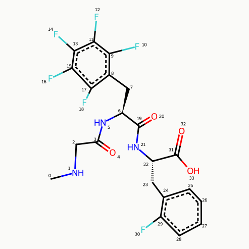 CNCC(=O)N[C@@H](Cc1c(F)c(F)c(F)c(F)c1F)C(=O)N[C@@H](Cc1ccccc1F)C(=O)O